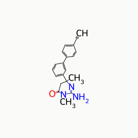 C#Cc1ccc(-c2cccc(C3(C)CC(=O)N(C)C(N)=N3)c2)cc1